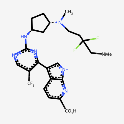 CNCC(F)(F)CCN(C)[C@H]1CC[C@H](Nc2ncc(C(F)(F)F)c(-c3c[nH]c4nc(C(=O)O)ccc34)n2)C1